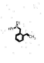 C=Cc1ccccc1CN(CC)CCC